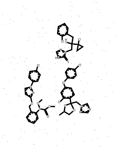 CC1COC(Cn2cncn2)(c2ccc(Oc3ccc(Cl)cc3)cc2Cl)O1.COC(=O)N(OC)c1ccccc1COc1ccn(-c2ccc(Cl)cc2)n1.OC(Cc1ccccc1Cl)(Cn1nc[nH]c1=S)C1(Cl)CC1